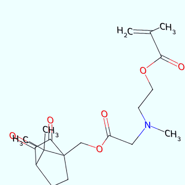 C=C(C)C(=O)OCCN(C)CC(=O)OCC12CCC(C(=O)C1=O)C2(C)C